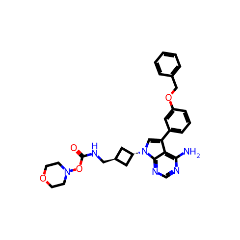 Nc1ncnc2c1c(-c1cccc(OCc3ccccc3)c1)cn2[C@H]1C[C@H](CNC(=O)ON2CCOCC2)C1